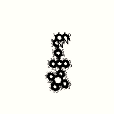 c1cnc2c(c1)CCc1ccc(-c3ccc(-c4c5ccccc5c(-c5ccc6c(c5)-c5ccccc5-c5ccccc5-c5ccccc5-6)c5ccccc45)cc3)nc1-2